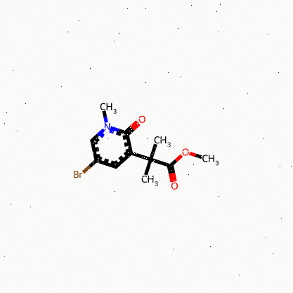 COC(=O)C(C)(C)c1cc(Br)cn(C)c1=O